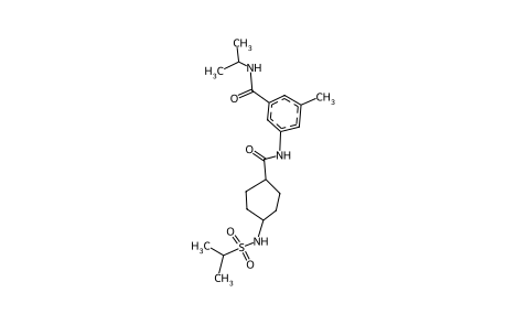 Cc1cc(NC(=O)C2CCC(NS(=O)(=O)C(C)C)CC2)cc(C(=O)NC(C)C)c1